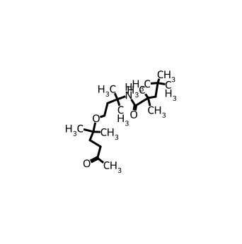 CC(=O)CCC(C)(C)OCCC(C)(C)NC(=O)C(C)(C)CC(C)(C)C